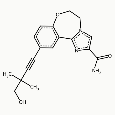 CC(C)(C#Cc1ccc2c(c1)-c1nc(C(N)=O)cn1CCO2)CO